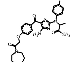 CC(C(N)=O)N(c1ccc(F)cc1)c1nc(N)c(C(=O)c2ccc(OCC(=O)N3CCCCCC3)cc2)s1